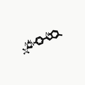 CC1=CC2C=C(c3ccc(-n4cc([Si](C)(C)C)nn4)cc3)N=C2C=C1